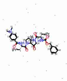 CC(C)C[C@H](NC(=O)c1ccc(N(C)C)cc1)C(=O)N1CC[C@@H]2C1C(=O)CN2C(=O)[C@H](CC(C)C)NC(=O)OCc1ccccc1